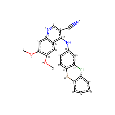 COc1cc2ncc(C#N)c(Nc3ccc(Sc4ccccc4)c(Cl)c3)c2cc1OC